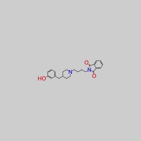 O=C1c2ccccc2C(=O)N1CCCCN1CCC(Cc2cccc(O)c2)CC1